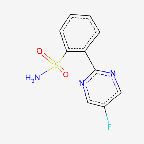 NS(=O)(=O)c1ccccc1-c1ncc(F)cn1